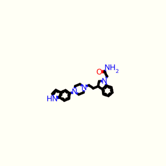 NC(=O)CN1CC(CCN2CCN(c3ccc4[nH]ccc4c3)CC2)c2ccccc21